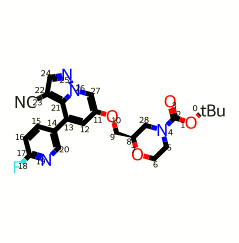 CC(C)(C)OC(=O)N1CCO[C@@H](COc2cc(-c3ccc(F)nc3)c3c(C#N)cnn3c2)C1